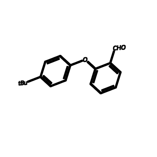 CC(C)(C)c1ccc(Oc2ccccc2C=O)cc1